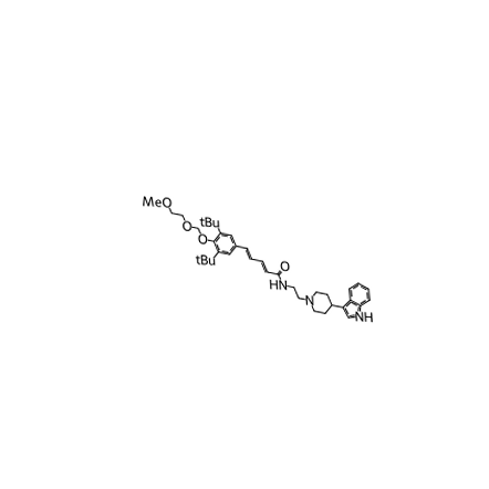 COCCOCOc1c(C(C)(C)C)cc(/C=C/C=C/C(=O)NCCN2CCC(c3c[nH]c4ccccc34)CC2)cc1C(C)(C)C